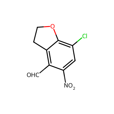 O=Cc1c([N+](=O)[O-])cc(Cl)c2c1CCO2